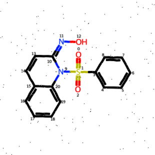 O=S(=O)(c1ccccc1)n1c(=NO)ccc2ccccc21